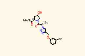 CNC(=O)[C@H]1CC(O)CN1C(=O)C(n1cc(COc2cccc(C(C)=O)c2)nn1)C(C)(C)C